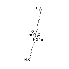 CCCCCCCCCCCCCCCCC(C(=O)O)C(CCCCCCCCCCCCCCC)C(=O)C(O)CO